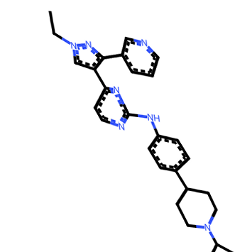 CCn1cc(-c2ccnc(Nc3ccc(C4CCN(C5COC5)CC4)cc3)n2)c(-c2cccnc2)n1